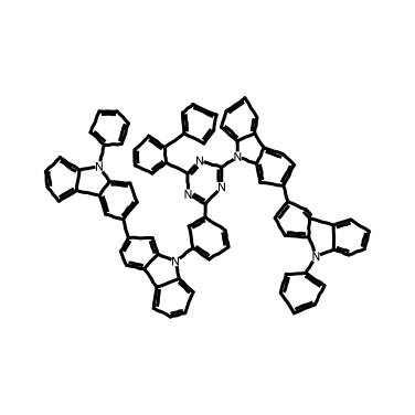 c1ccc(-c2ccccc2-c2nc(-c3cccc(-n4c5ccccc5c5ccc(-c6ccc7c(c6)c6ccccc6n7-c6ccccc6)cc54)c3)nc(-n3c4ccccc4c4ccc(-c5ccc6c(c5)c5ccccc5n6-c5ccccc5)cc43)n2)cc1